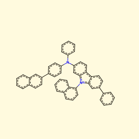 c1ccc(-c2ccc3c4ccc(N(c5ccccc5)c5ccc(-c6ccc7ccccc7c6)cc5)cc4n(-c4cccc5ccccc45)c3c2)cc1